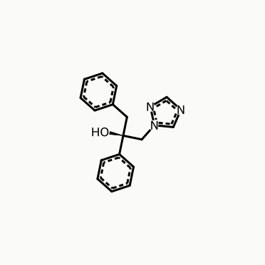 O[C@@](Cc1ccccc1)(Cn1cncn1)c1ccccc1